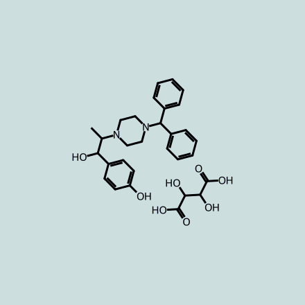 CC(C(O)c1ccc(O)cc1)N1CCN(C(c2ccccc2)c2ccccc2)CC1.O=C(O)C(O)C(O)C(=O)O